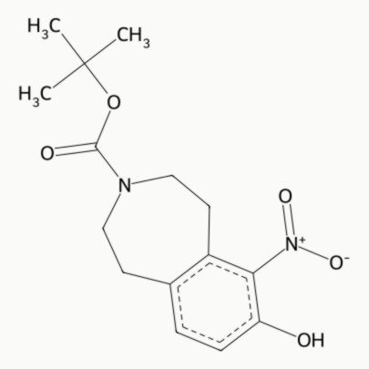 CC(C)(C)OC(=O)N1CCc2ccc(O)c([N+](=O)[O-])c2CC1